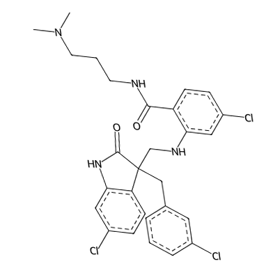 CN(C)CCCNC(=O)c1ccc(Cl)cc1NCC1(Cc2cccc(Cl)c2)C(=O)Nc2cc(Cl)ccc21